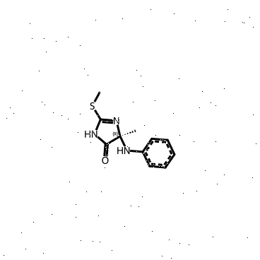 CSC1=N[C@@](C)(Nc2ccccc2)C(=O)N1